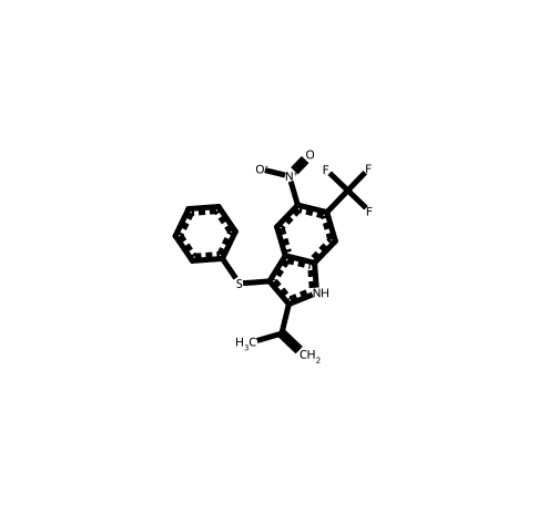 C=C(C)c1[nH]c2cc(C(F)(F)F)c([N+](=O)[O-])cc2c1Sc1ccccc1